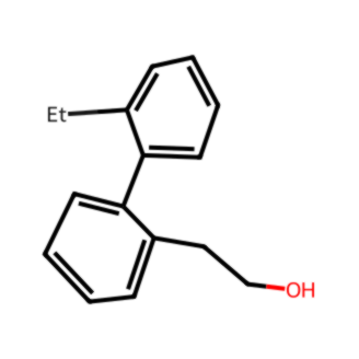 CCc1ccccc1-c1ccccc1CCO